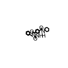 O=C(NC1CCCCC1)c1ccc2c(=O)n(Cc3ccccc3)c(=O)[nH]c2c1